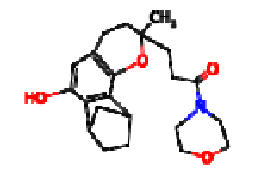 CC1(CCC(=O)N2CCOCC2)CCc2cc(O)c3c(c2O1)C1CCC3C1